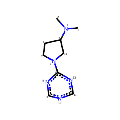 CN(C)C1CCN(c2ncncn2)C1